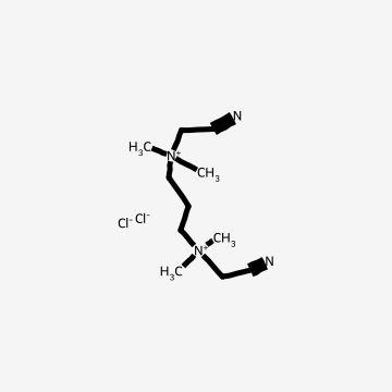 C[N+](C)(CC#N)CCC[N+](C)(C)CC#N.[Cl-].[Cl-]